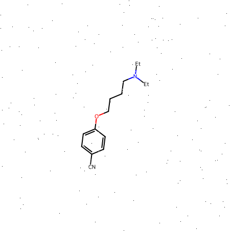 CCN(CC)CCCCOc1ccc(C#N)cc1